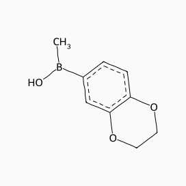 CB(O)c1ccc2c(c1)OCCO2